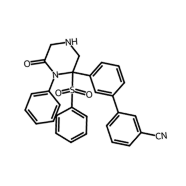 N#Cc1cccc(-c2cccc(C3(S(=O)(=O)c4ccccc4)CNCC(=O)N3c3ccccc3)c2)c1